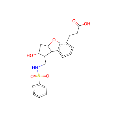 O=C(O)CCc1cccc2c1OC1CC(O)C(CNS(=O)(=O)c3ccccc3)C21